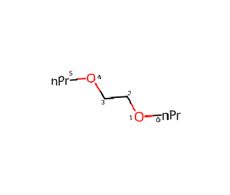 CCCOCCOCCC